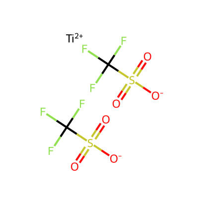 O=S(=O)([O-])C(F)(F)F.O=S(=O)([O-])C(F)(F)F.[Ti+2]